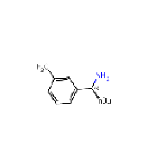 CCCC[C@H](N)c1cccc(C(F)(F)F)c1